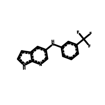 FC(F)(F)c1cccc(Nc2cnc3[nH]ccc3c2)c1